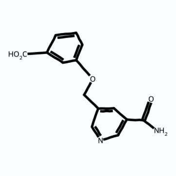 NC(=O)c1cncc(COc2cccc(C(=O)O)c2)c1